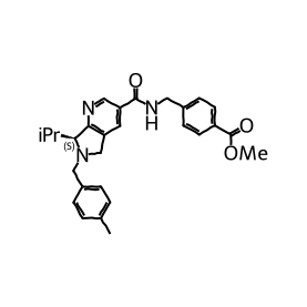 COC(=O)c1ccc(CNC(=O)c2cnc3c(c2)CN(Cc2ccc(C)cc2)[C@H]3C(C)C)cc1